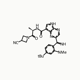 CNc1cc(C(C)(C)C)ccc1C(=N)c1cnc2[nH]cc(C(=O)N[C@H](C)C(=O)N3CC(C#N)C3)c2n1